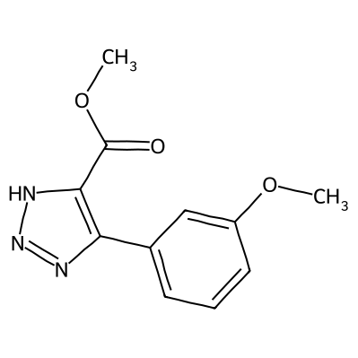 COC(=O)c1[nH]nnc1-c1cccc(OC)c1